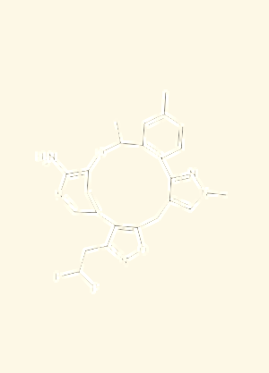 Cc1ccc2c(c1)C(C)Oc1cc(cnc1N)-c1c(CC(F)F)noc1Cc1cn(C)nc1-2